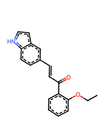 CCOc1ccccc1C(=O)C=Cc1ccc2[nH]ccc2c1